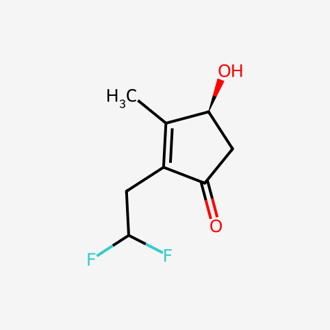 CC1=C(CC(F)F)C(=O)C[C@@H]1O